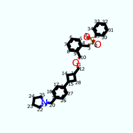 O=S(=O)(Cc1ccccc1COCC1CC(c2ccc(CN3CCCC3)cc2)C1)c1ccccc1